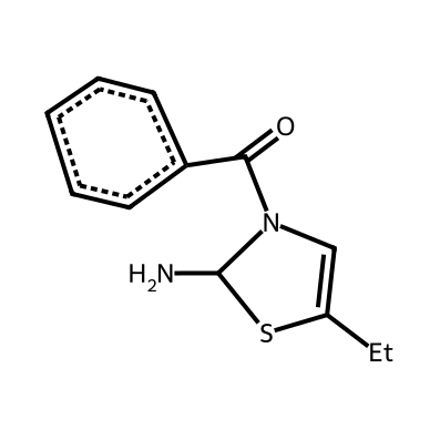 CCC1=CN(C(=O)c2ccccc2)C(N)S1